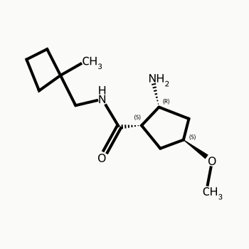 CO[C@@H]1C[C@@H](N)[C@@H](C(=O)NCC2(C)CCC2)C1